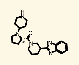 O=C([C@@H]1CCCN1C1CCNCC1)N1CCCC(c2nc3ccccc3[nH]2)C1